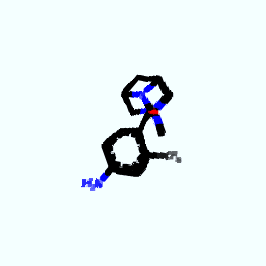 CN1CC2CC(C1)N2Cc1ccc(N)cc1C(F)(F)F